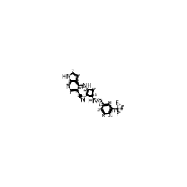 N#Cc1cnc2[nH]ccc2c1N[C@H]1C[C@@H](NSc2cccc(C(F)(F)F)c2)C1